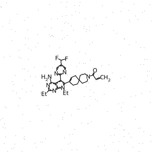 C=CC(=O)N1CCC2(CC=C(c3c(-c4ncc(C(F)F)cn4)c4c(N)nc(CC)nc4n3CC)CC2)CC1